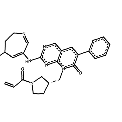 C=CC(=O)N1CC[C@@H](Cn2c(=O)c(-c3ccccc3)cc3cnc(NC4=CC(C)CCN=C4)nc32)C1